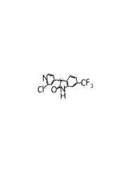 C[C@@]1(c2ccnc(Cl)c2)C(=O)Nc2cc(C(F)(F)F)ccc21